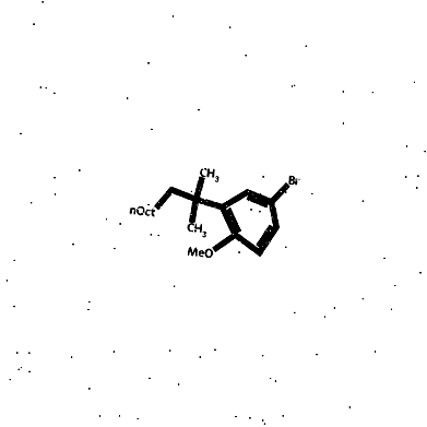 CCCCCCCCCC(C)(C)c1cc(Br)ccc1OC